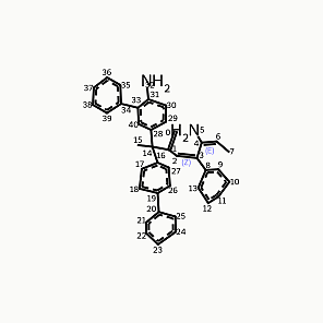 C=C(/C=C(\C(N)=C/C)c1ccccc1)C(C)(c1ccc(-c2ccccc2)cc1)c1ccc(N)c(-c2ccccc2)c1